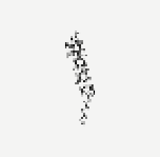 CCCCCCCC1OCC(c2ccc(-c3ccc(-c4ccc(OC)c(F)c4F)cc3)cc2F)CO1